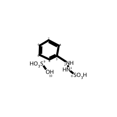 O=S(=O)(O)NNc1ccccc1.O=S(=O)(O)O